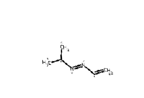 C=CN=NC(C)C